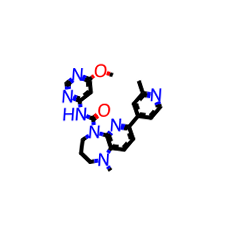 COc1cc(NC(=O)N2CCCN(C)c3ccc(-c4ccnc(C)c4)nc32)ncn1